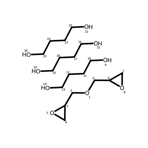 C(OCC1CO1)C1CO1.OCCCCO.OCCCCO.OCCCCO